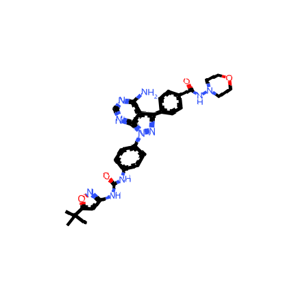 CC(C)(C)c1cc(NC(=O)Nc2ccc(-n3nc(-c4ccc(C(=O)NN5CCOCC5)cc4)c4c(N)ncnc43)cc2)no1